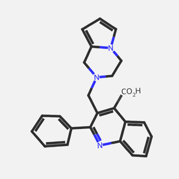 O=C(O)c1c(CN2CCn3cccc3C2)c(-c2ccccc2)nc2ccccc12